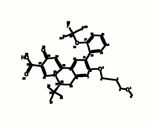 COCCCOc1cc2c(cc1-c1ccccc1OC(F)(F)F)-c1cc(=O)c(C(=O)O)cn1[C@H](C(C)(C)C)C2